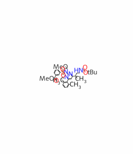 COCN(c1nc(-c2c(C)cccc2C)cc(C(C)CCNC(=O)OC(C)(C)C)n1)S(=O)(=O)c1cccc(C(=O)OC)c1